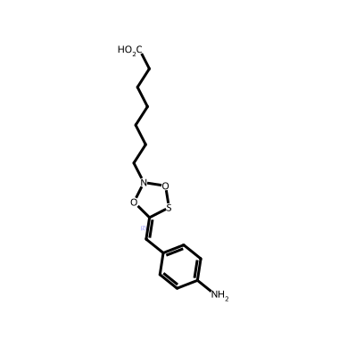 Nc1ccc(/C=C2/ON(CCCCCCC(=O)O)OS2)cc1